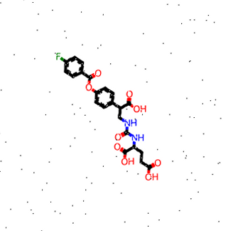 O=C(O)CCC(NC(=O)NCC(C(=O)O)c1ccc(OC(=O)c2ccc(F)cc2)cc1)C(=O)O